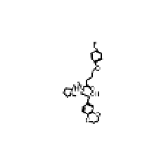 CCCC1CCCN1C[C@H](NC(=O)CCCOc1ccc(F)cc1)C(O)c1ccc2c(c1)OCCO2